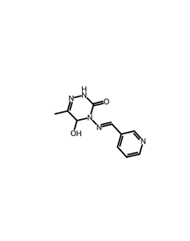 CC1=NNC(=O)N(/N=C/c2cccnc2)C1O